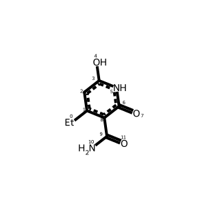 CCc1cc(O)[nH]c(=O)c1C(N)=O